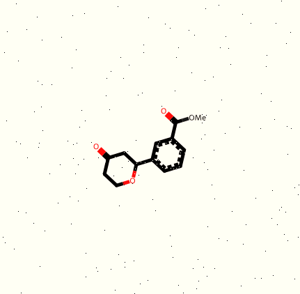 COC(=O)c1cccc(C2CC(=O)CCO2)c1